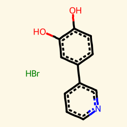 Br.Oc1ccc(-c2cccnc2)cc1O